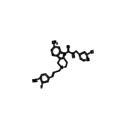 N#Cc1ccc(/C=C/CN2CCc3c(c4ccc(C(F)(F)F)cc4n3C(=O)NCc3ccnc(Cl)c3)C2)cc1F